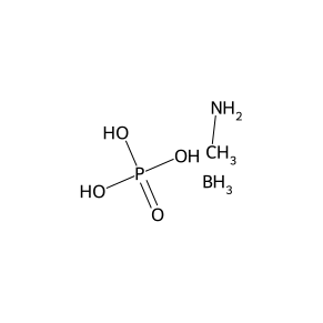 B.CN.O=P(O)(O)O